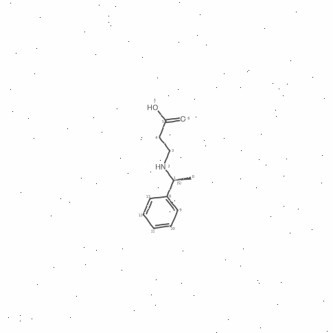 C[C@H](NCCC(=O)O)c1ccccc1